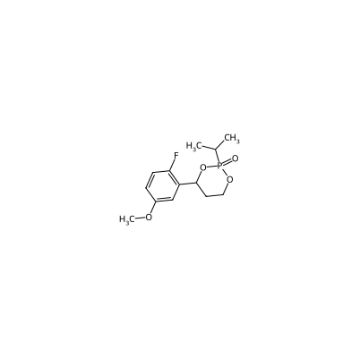 COc1ccc(F)c(C2CCOP(=O)(C(C)C)O2)c1